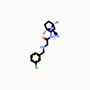 N#CN1[C@H]2CC[C@@H]1[C@H](NC(=O)CNCc1cccc(Br)c1)C2